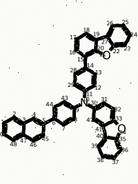 c1ccc2cc(-c3ccc(N(c4ccc(-c5cccc6c5oc5ccccc56)cc4)c4ccc5oc6ccccc6c5c4)cc3)ccc2c1